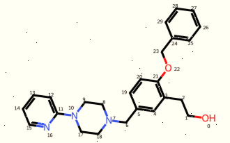 OCCc1cc(CN2CCN(c3ccccn3)CC2)ccc1OCc1ccccc1